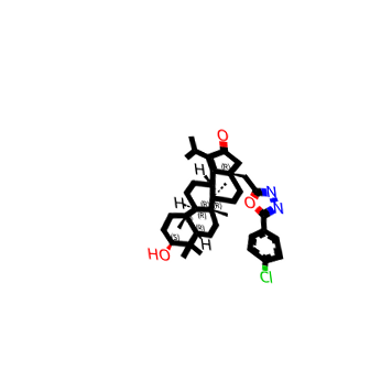 CC(C)C1=C2[C@H]3CC[C@@H]4[C@@]5(C)CC[C@H](O)C(C)(C)[C@@H]5CC[C@@]4(C)[C@]3(C)CC[C@@]2(Cc2nnc(-c3ccc(Cl)cc3)o2)CC1=O